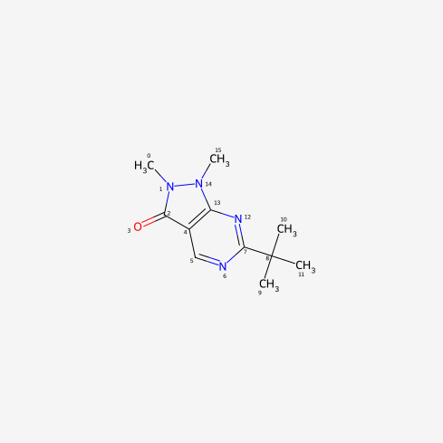 Cn1c(=O)c2cnc(C(C)(C)C)nc2n1C